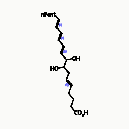 CCCCC/C=C/C=C/C=C/C(O)C(O)C/C=C/CCCC(=O)O